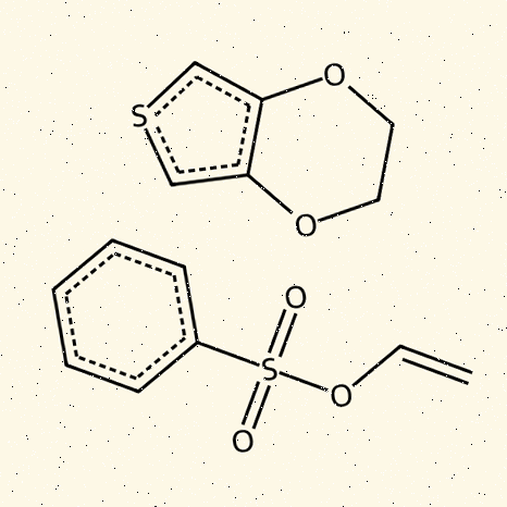 C=COS(=O)(=O)c1ccccc1.c1scc2c1OCCO2